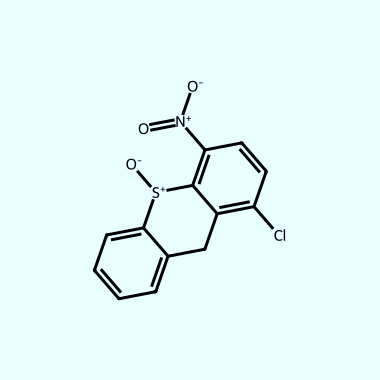 O=[N+]([O-])c1ccc(Cl)c2c1[S+]([O-])c1ccccc1C2